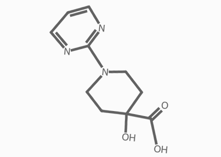 O=C(O)C1(O)CCN(c2ncccn2)CC1